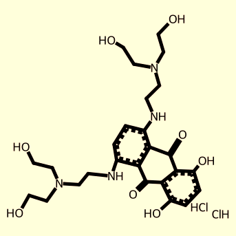 Cl.Cl.O=C1c2c(O)ccc(O)c2C(=O)c2c(NCCN(CCO)CCO)ccc(NCCN(CCO)CCO)c21